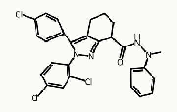 CN(NC(=O)C1CCCc2c1nn(-c1ccc(Cl)cc1Cl)c2-c1ccc(Cl)cc1)c1ccccc1